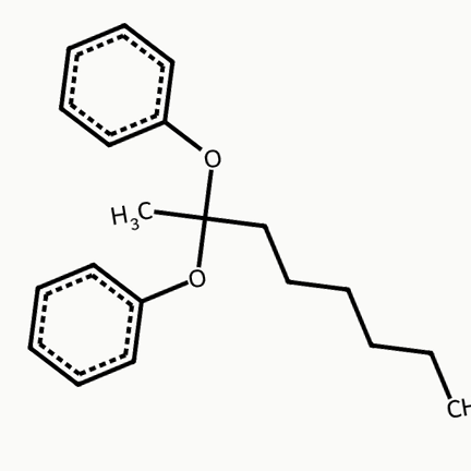 CCCCCCC(C)(Oc1ccccc1)Oc1ccccc1